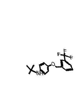 CC(C)(C)Nc1ccc(OCc2cccc(C(F)(F)F)c2)cc1